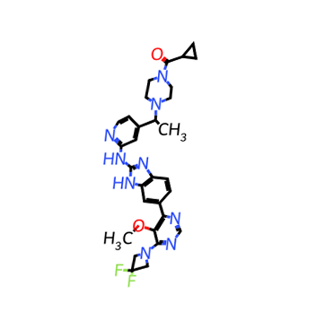 COc1c(-c2ccc3nc(Nc4cc(C(C)N5CCN(C(=O)C6CC6)CC5)ccn4)[nH]c3c2)ncnc1N1CC(F)(F)C1